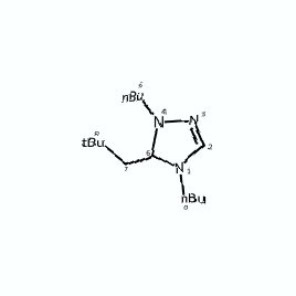 CCCCN1C=NN(CCCC)C1CC(C)(C)C